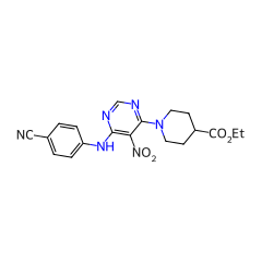 CCOC(=O)C1CCN(c2ncnc(Nc3ccc(C#N)cc3)c2[N+](=O)[O-])CC1